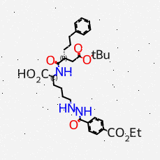 CCOC(=O)c1ccc(C(=O)NNCCCC[C@H](NC(=O)[C@H](CCCc2ccccc2)CC(=O)OC(C)(C)C)C(=O)O)cc1